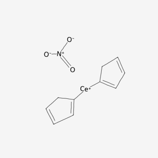 C1=CC[C]([Ce+][C]2=CC=CC2)=C1.O=[N+]([O-])[O-]